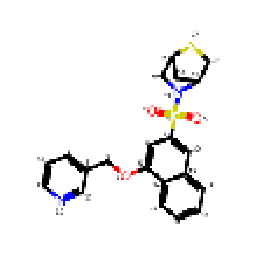 O=S(=O)(c1cc(OCc2cccnc2)c2ccccc2c1)N1CC2CC1CS2